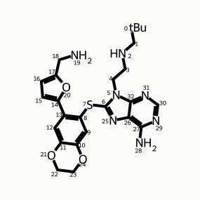 CC(C)(C)CNCCn1c(Sc2cc3c(cc2-c2ccc(CN)o2)OCCO3)nc2c(N)ncnc21